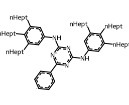 CCCCCCCc1cc(Nc2nc(Nc3cc(CCCCCCC)c(CCCCCCC)c(CCCCCCC)c3)nc(-c3cc[c]cc3)n2)cc(CCCCCCC)c1CCCCCCC